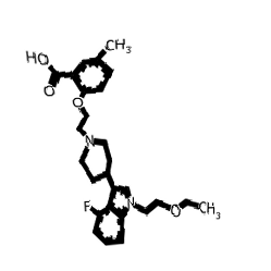 CCOCCn1cc(C2CCN(CCOc3ccc(C)cc3C(=O)O)CC2)c2c(F)cccc21